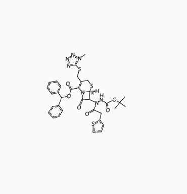 Cn1nnnc1SCC1=C(C(=O)OC(c2ccccc2)c2ccccc2)N2C(=O)C(N(NC(=O)OC(C)(C)C)C(=O)Cc3cccs3)[C@H]2SC1